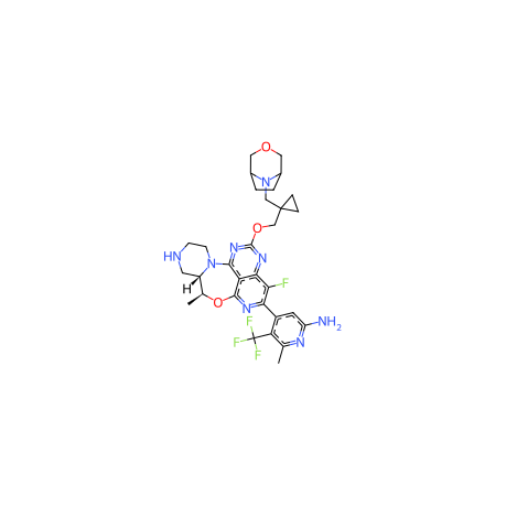 Cc1nc(N)cc(-c2nc3c4c(nc(OCC5(CN6C7CCC6COC7)CC5)nc4c2F)N2CCNC[C@H]2[C@H](C)O3)c1C(F)(F)F